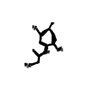 O=C(CC(F)(F)F)Nc1cc(C(F)(F)F)c(Br)cc1[N+](=O)[O-]